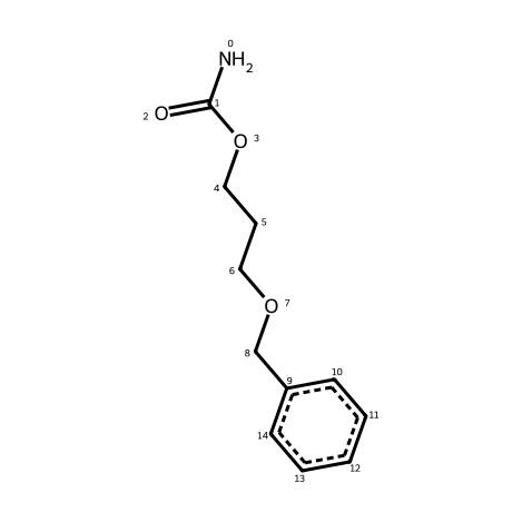 NC(=O)OCCCOCc1ccccc1